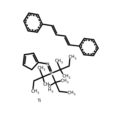 C(C=Cc1ccccc1)=Cc1ccccc1.CCC(C)(C)P(=NC1=CC=CC1)(C(C)(C)CC)C(C)(C)CC.[Ti]